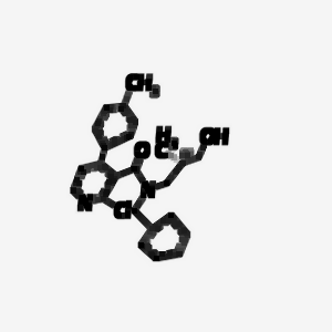 Cc1ccc(-c2ccnc(Cl)c2C(=O)N(Cc2ccccc2)C[C@H](C)CO)cc1